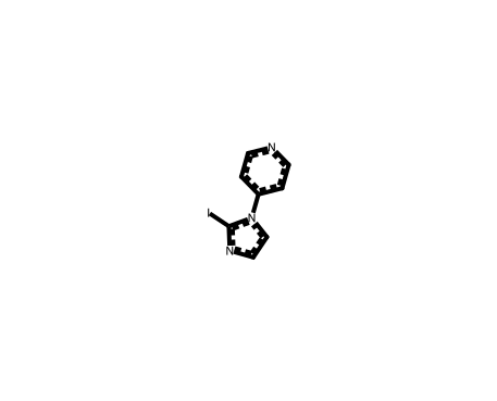 Ic1nccn1-c1ccncc1